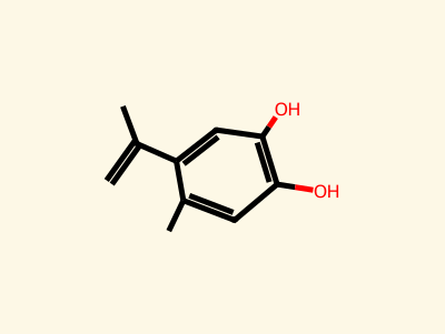 C=C(C)c1cc(O)c(O)cc1C